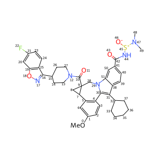 COc1ccc2c(c1)C1CC1(C(=O)N1CCC(c3noc4cc(F)ccc34)CC1)Cn1c-2c(C2CCCCC2)c2ccc(C(=O)N[S+]([O-])N(C)C)cc21